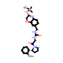 CSc1ccccc1[C@H]1CCCN1C(=O)CNC(=O)NCc1ccc2c(c1)OC[C@@H](O[Si](C)(C)C(C)(C)C)N2